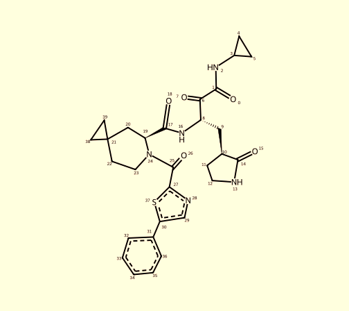 O=C(NC1CC1)C(=O)[C@H](C[C@@H]1CCNC1=O)NC(=O)[C@@H]1CC2(CCN1C(=O)c1ncc(-c3ccccc3)s1)CC2